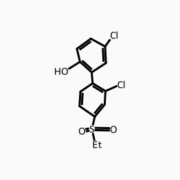 CCS(=O)(=O)c1ccc(-c2cc(Cl)ccc2O)c(Cl)c1